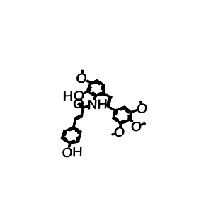 COc1ccc(C=Cc2cc(OC)c(OC)c(OC)c2)c(NC(=O)/C=C/c2ccc(O)cc2)c1O